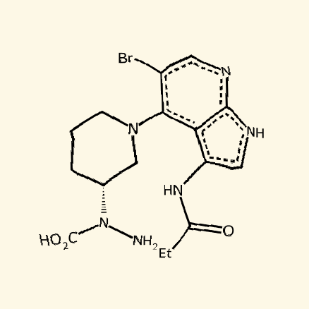 CCC(=O)Nc1c[nH]c2ncc(Br)c(N3CCC[C@@H](N(N)C(=O)O)C3)c12